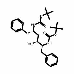 CC(C)(C)OC(=O)N[C@@H](Cc1ccccc1)C[C@H](O)[C@H](Cc1ccccc1)NC(=O)OC(C)(C)C